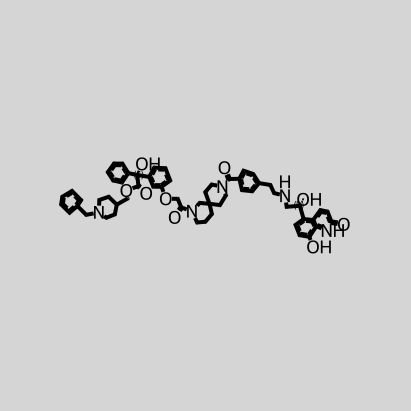 O=C(COc1cccc([C@](O)(C(=O)OCC2CCN(Cc3ccccc3)CC2)c2ccccc2)c1)N1CCCC2(CCN(C(=O)c3ccc(CCNC[C@H](O)c4ccc(O)c5[nH]c(=O)ccc45)cc3)CC2)C1